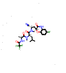 CC(C)C[C@H](C(=O)N1C[C@@]2(C[C@H]1C#N)Oc1ccc(F)cc1NC2=O)N(C)C(=O)[C@H](C)NC(=O)C(F)(F)F